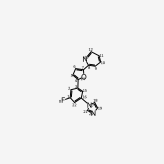 Fc1cc(-c2ccc(-c3ccccn3)o2)cc(-n2ccnc2)c1